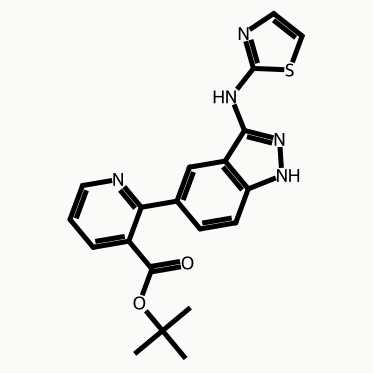 CC(C)(C)OC(=O)c1cccnc1-c1ccc2[nH]nc(Nc3nccs3)c2c1